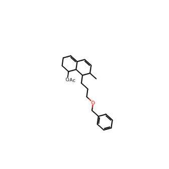 CC(=O)OC1CCC=C2C=CC(C)C(CCCOCc3ccccc3)C21